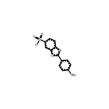 CC(C)(C)c1ccc(-c2nc3ccc(S(=O)(=O)Cl)cc3o2)cc1